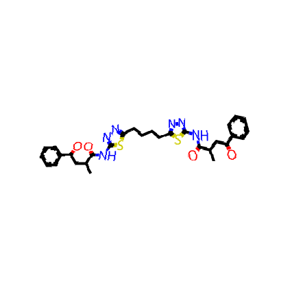 CC(CC(=O)c1ccccc1)C(=O)Nc1nnc(CCCCc2nnc(NC(=O)C(C)CC(=O)c3ccccc3)s2)s1